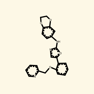 c1ccc(COc2ccccc2-c2cnc(Nc3ccc4c(c3)OCCO4)o2)nc1